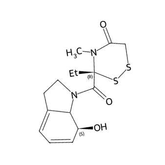 CC[C@]1(C(=O)N2CCC3=CC=C[C@H](O)C32)SSCC(=O)N1C